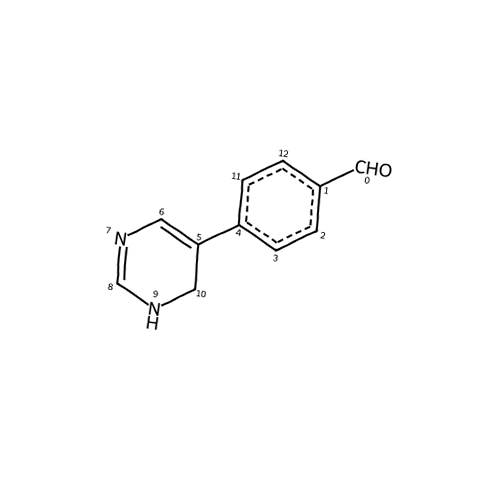 O=Cc1ccc(C2=CN=CNC2)cc1